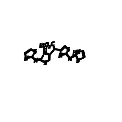 CCOC(=O)C(c1csc(/N=c2\[nH]ccs2)n1)c1cs/c(=N/c2nccs2)[nH]1